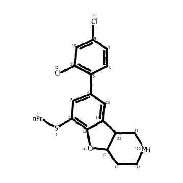 CCCSc1cc(-c2ccc(Cl)cc2Cl)cc2c1OC1CCNCC21